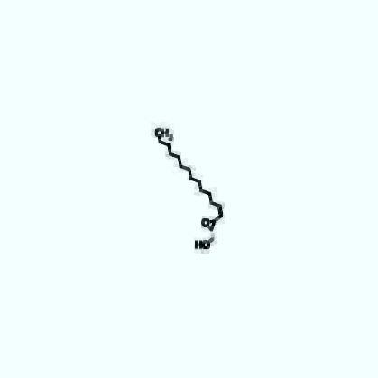 CCCCCCCCCCCC/C=C\[C@@H]1O[C@H]1CO